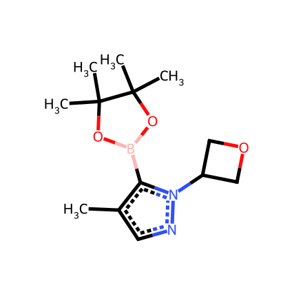 Cc1cnn(C2COC2)c1B1OC(C)(C)C(C)(C)O1